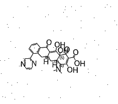 CN(C)[C@@H]1C(O)=C(C(=O)O)C(=O)[C@@]2(O)C(O)=C3C(=O)c4cccc(-c5cnccn5)c4C[C@H]3C[C@@H]12